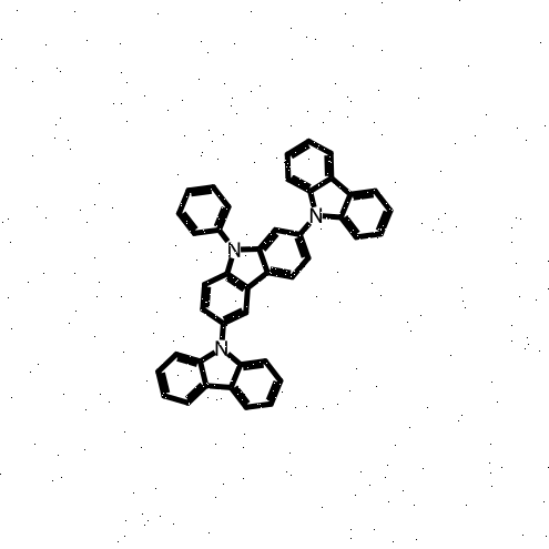 c1ccc(-n2c3ccc(-n4c5ccccc5c5ccccc54)cc3c3ccc(-n4c5ccccc5c5ccccc54)cc32)cc1